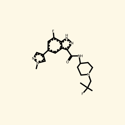 Cn1cc(-c2cc(F)c3[nH]nc(C(=O)NC4CCN(CC(C)(C)F)CC4)c3c2)cn1